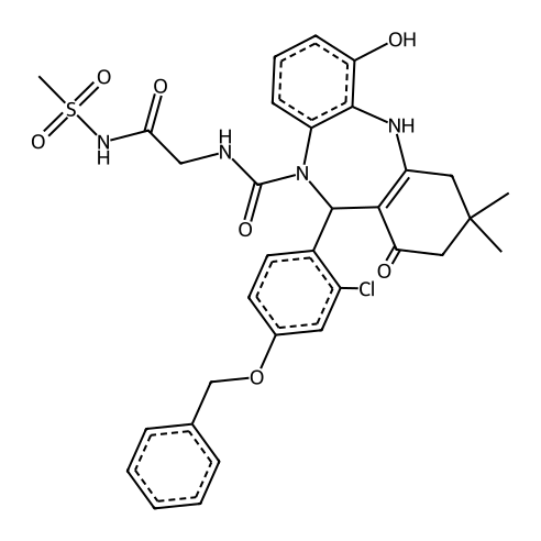 CC1(C)CC(=O)C2=C(C1)Nc1c(O)cccc1N(C(=O)NCC(=O)NS(C)(=O)=O)C2c1ccc(OCc2ccccc2)cc1Cl